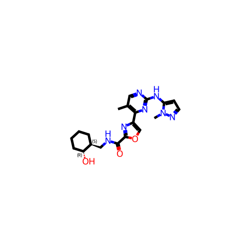 Cc1cnc(Nc2ccnn2C)nc1-c1coc(C(=O)NC[C@@H]2CCCC[C@H]2O)n1